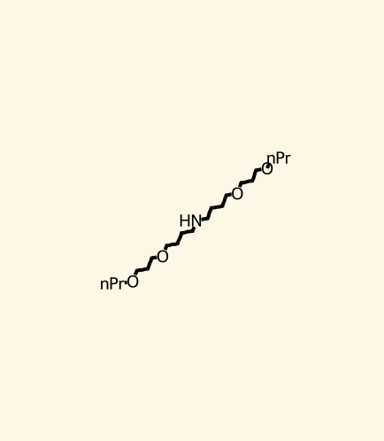 CCCOCCCOCCCCNCCCCOCCCOCCC